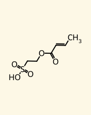 CC=CC(=O)OCCS(=O)(=O)O